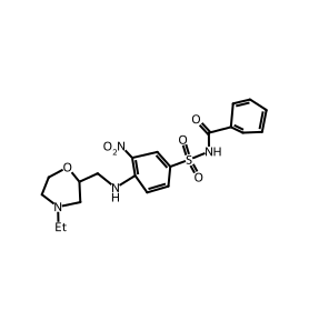 CCN1CCOC(CNc2ccc(S(=O)(=O)NC(=O)c3ccccc3)cc2[N+](=O)[O-])C1